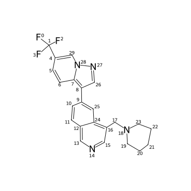 FC(F)(F)c1ccc2c(-c3ccc4cncc(CN5CCCCC5)c4c3)cnn2c1